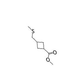 COC(=O)C1CC(CSC)C1